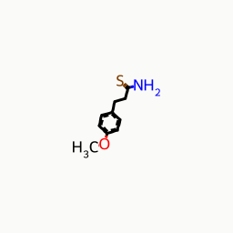 COc1ccc(CCC(N)=S)cc1